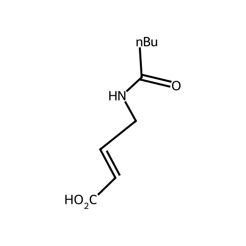 CCCCC(=O)NCC=CC(=O)O